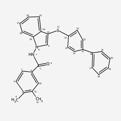 Cc1ccc(C(=O)Nn2cc(Sc3ccc(-c4ccccc4)cc3)c3ccccc32)cc1C